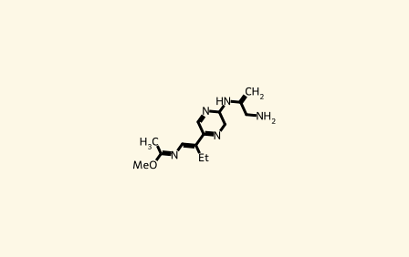 C=C(CN)NC1CN=C(/C(=C/N=C(\C)OC)CC)C=N1